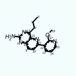 CCCc1nc(N)nc2ccc(-c3cccnc3OC)nc12